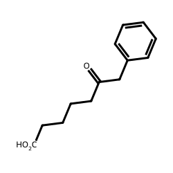 O=C(O)CCCCC(=O)Cc1ccccc1